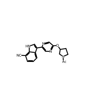 CC(=O)N1CCC(Oc2cnc(-c3c[nH]c4c(C#N)cccc34)cn2)C1